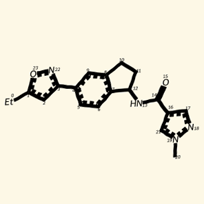 CCc1cc(-c2ccc3c(c2)CCC3NC(=O)c2cnn(C)c2)no1